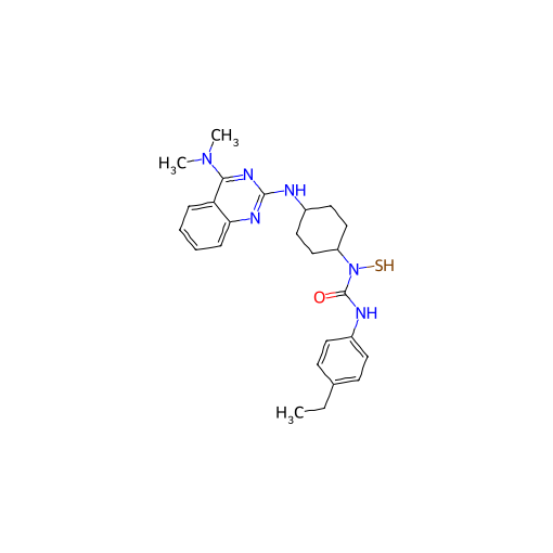 CCc1ccc(NC(=O)N(S)C2CCC(Nc3nc(N(C)C)c4ccccc4n3)CC2)cc1